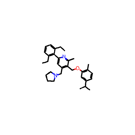 CCc1cccc(CC)c1-c1cc(CN2CCCC2)c(COc2cc(C(C)C)ccc2C)c(C)n1